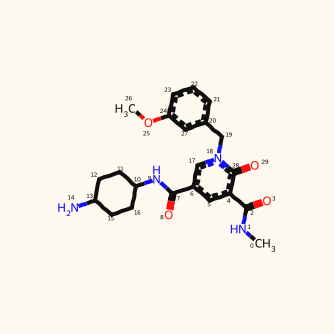 CNC(=O)c1cc(C(=O)NC2CCC(N)CC2)cn(Cc2cccc(OC)c2)c1=O